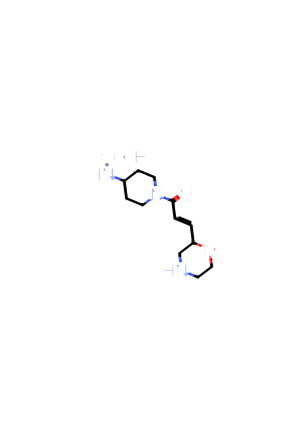 O=C(O)NC1CCN(C(=O)/C=C/C2CNCCO2)CC1